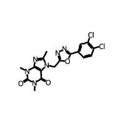 Cc1nc2c(c(=O)n(C)c(=O)n2C)n1Cc1nnc(-c2ccc(Cl)c(Cl)c2)o1